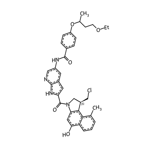 CCOCCC(C)Oc1ccc(C(=O)Nc2cnc3[nH]c(C(=O)N4C[C@@H](CCl)c5c4cc(O)c4cccc(C)c54)cc3c2)cc1